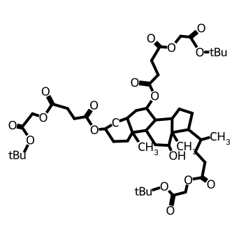 CC(CCC(=O)OCC(=O)OC(C)(C)C)C1CCC2C3C(OC(=O)CCC(=O)OCC(=O)OC(C)(C)C)CC4CC(OC(=O)CCC(=O)OCC(=O)OC(C)(C)C)CCC4(C)C3CC(O)C12C